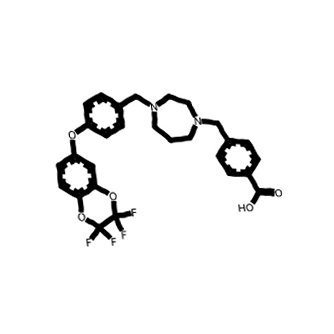 O=C(O)c1ccc(CN2CCCN(Cc3ccc(Oc4ccc5c(c4)OC(F)(F)C(F)(F)O5)cc3)CC2)cc1